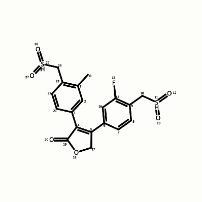 Cc1cc(C2=C(c3ccc(C[SH](=O)=O)c(F)c3)COC2=O)ccc1C[SH](=O)=O